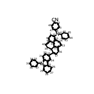 N#Cc1ccc(N(c2ccc3c4c5c(ccc24)=CC=C(c2ccc4c(c2)c2ccccc2n4-c2ccccc2)C5CC=3)C2C=CC=CC2)cc1